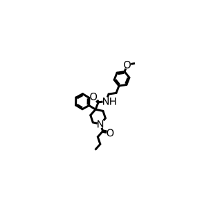 CCCC(=O)N1CCC(C(=O)NCCc2ccc(OC)cc2)(c2ccccc2)CC1